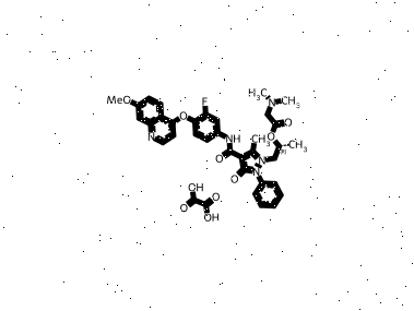 COc1ccc2c(Oc3ccc(NC(=O)c4c(C)n(C[C@@H](C)OC(=O)CN(C)C)n(-c5ccccc5)c4=O)cc3F)ccnc2c1.O=C(O)C(=O)O